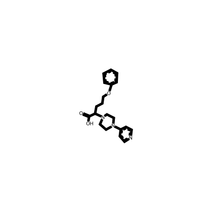 O=C(O)C(CCCOc1ccccc1)N1CCN(c2ccncc2)CC1